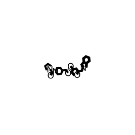 O=C(N1CCCC1)N1CCC(COc2coc(Cn3cc4ccccc4c3)cc2=O)CC1